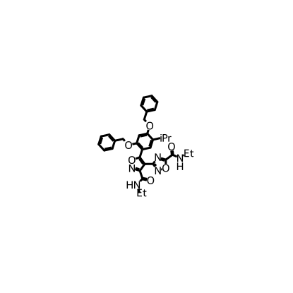 CCNC(=O)c1nc(-c2c(C(=O)NCC)noc2-c2cc(C(C)C)c(OCc3ccccc3)cc2OCc2ccccc2)no1